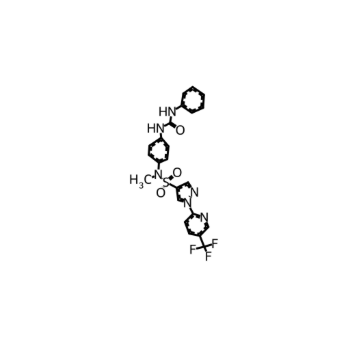 CN(c1ccc(NC(=O)Nc2ccccc2)cc1)S(=O)(=O)c1cnn(-c2ccc(C(F)(F)F)cn2)c1